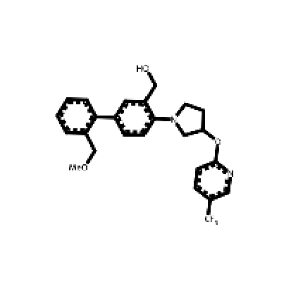 COCc1ccccc1-c1ccc(N2CCC(Oc3ccc(C(F)(F)F)cn3)C2)c(CO)c1